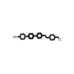 CCCC1CCC(c2ccc(-c3ccc(CCC4CCC(CCl)CC4)cc3)cc2)CC1